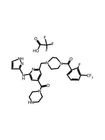 O=C(O)C(F)(F)F.O=C(c1cc(CN2CCN(C(=O)c3cccc(C(F)(F)F)c3F)CC2)nc(Nc2cc[nH]n2)c1)N1CCNCC1